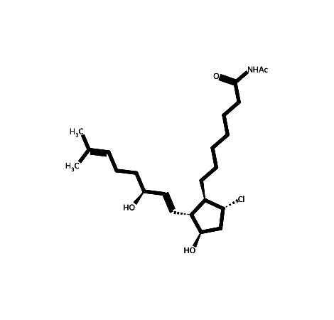 CC(=O)NC(=O)CCCCCC[C@@H]1[C@@H](/C=C/[C@@H](O)CCC=C(C)C)[C@H](O)C[C@H]1Cl